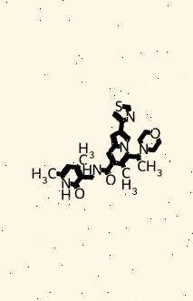 Cc1cc(C)c(CNC(=O)c2cc3cc(-c4cscn4)cn3c(C(C)N3CCOCC3)c2C)c(=O)[nH]1